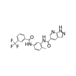 Cc1ccc(NC(=O)c2cccc(C(F)(F)F)c2)cc1NC(=O)c1cnc2[nH]ncc2c1